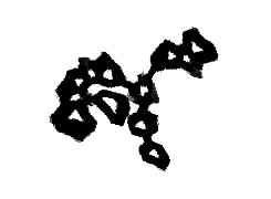 c1ccc(-c2ccc(-c3nc(-c4ccc5c(c4)sc4ccccc45)nc(-c4ccc5oc6ccc7c8ccccc8n(-c8ccccc8)c7c6c5c4)n3)cc2)cc1